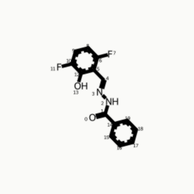 O=C(N/N=C/c1c(F)ccc(F)c1O)c1ccccc1